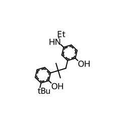 CCNc1ccc(O)c(CC(C)(C)c2cccc(C(C)(C)C)c2O)c1